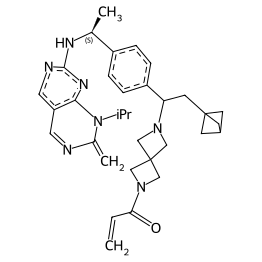 C=CC(=O)N1CC2(C1)CN(C(CC13CC(C1)C3)c1ccc([C@H](C)Nc3ncc4c(n3)N(C(C)C)C(=C)N=C4)cc1)C2